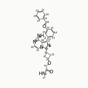 CNC(=O)CO[C@H]1C[C@@H](c2nc(-c3cccc(OCc4ccccc4)c3)c3c(N)nccn32)C1